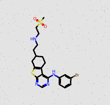 CS(=O)(=O)CCNCCC1CCc2c(sc3ncnc(Nc4cccc(Br)c4)c23)C1